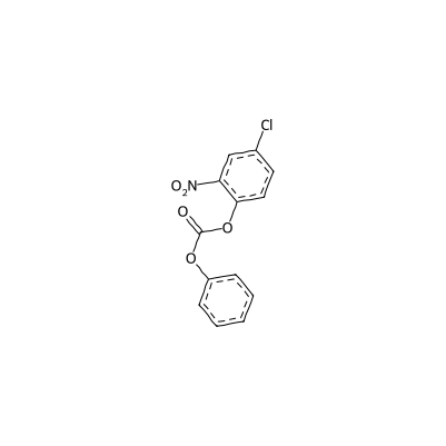 O=C(Oc1ccccc1)Oc1ccc(Cl)cc1[N+](=O)[O-]